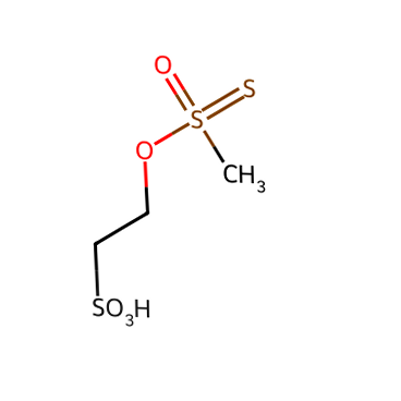 CS(=O)(=S)OCCS(=O)(=O)O